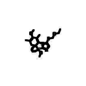 CCOCSc1cnc2n1C1=C(C)C(OC)=C(C)CC13C=CC=C[N+]23OC